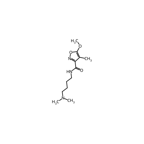 COc1onc(C(=O)NCCCCN(C)C)c1C